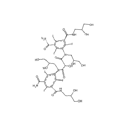 NC(=O)c1c(I)c(C(=O)NCC(O)CO)c(I)c(N(CC(O)CO)C(=O)C(O)C(=O)N(CC(O)CO)c2c(I)c(C(N)=O)c(I)c(C(=O)NCC(O)CO)c2I)c1I